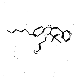 CCCCCCc1ccc(O/C(=C/c2cccnc2)C(OC/C=C/Cl)C(C)(C)C)cc1